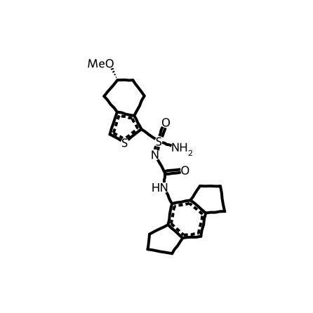 CO[C@@H]1CCc2c(csc2S(N)(=O)=NC(=O)Nc2c3c(cc4c2CCC4)CCC3)C1